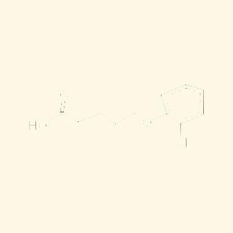 O=C(O)CCCCOc1ccccc1Cl